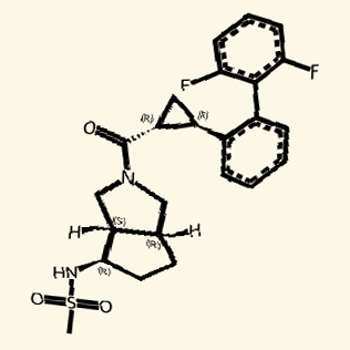 CS(=O)(=O)N[C@@H]1CC[C@H]2CN(C(=O)[C@@H]3C[C@H]3c3ccccc3-c3c(F)cccc3F)C[C@H]21